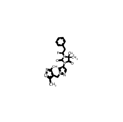 Cc1noc(C)c1Cn1cc(N2C(=O)N(C(F)Cc3ccccc3)C(C)(C)C2=O)cn1